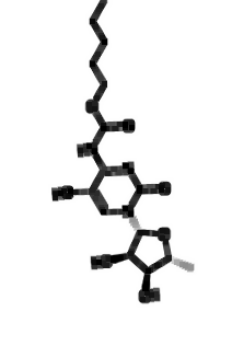 CCCCCOC(=O)Nc1nc(=O)n([C@@H]2O[C@H](C)[C@@H](O)[C@H]2O)cc1O